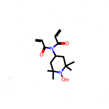 C=CC(=O)N(C(=O)C=C)C1CC(C)(C)N(O)C(C)(C)C1